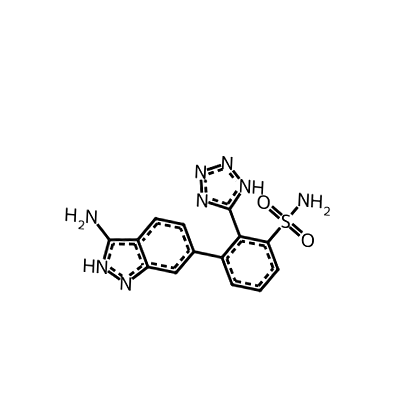 Nc1[nH]nc2cc(-c3cccc(S(N)(=O)=O)c3-c3nnn[nH]3)ccc12